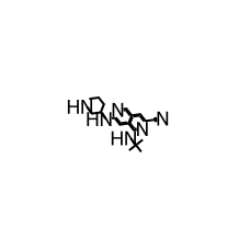 CC(C)(C)Nc1nc(C#N)cc2cnc(NC3CCCNC3)cc12